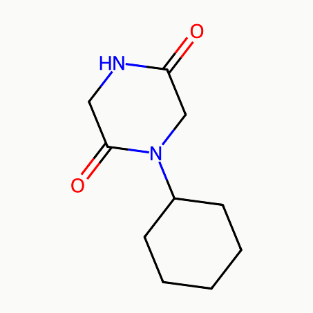 O=C1CN(C2CCCCC2)C(=O)CN1